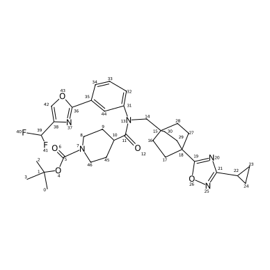 CC(C)(C)OC(=O)N1CCC(C(=O)N(CC23CCC(c4nc(C5CC5)no4)(CC2)CC3)c2cccc(-c3nc(C(F)F)co3)c2)CC1